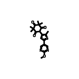 COc1ncc(-c2cc(C3C(=O)C(C)(C)C(=O)C(C)(C)C3=O)c(C)s2)cn1